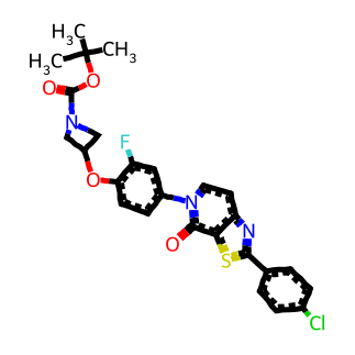 CC(C)(C)OC(=O)N1CC(Oc2ccc(-n3ccc4nc(-c5ccc(Cl)cc5)sc4c3=O)cc2F)C1